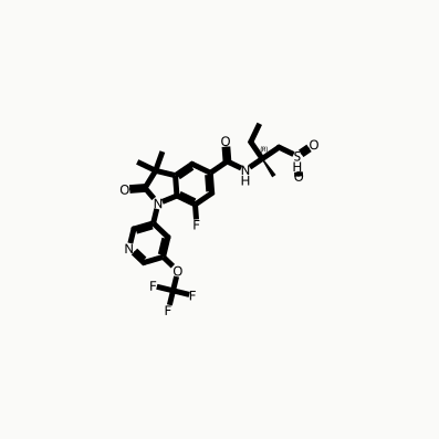 CC[C@](C)(C[SH](=O)=O)NC(=O)c1cc(F)c2c(c1)C(C)(C)C(=O)N2c1cncc(OC(F)(F)F)c1